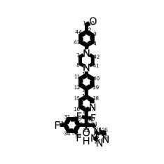 O=Cc1ccc(N2CCN(c3ccc(-c4ccc(C(F)(F)[C@](O)(Cn5cnnn5)c5ccc(F)cc5F)nc4)cc3)CC2)cc1